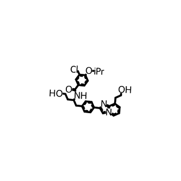 CC(C)Oc1ccc(C(=O)NC(CCO)Cc2ccc(-c3cn4cccc(CCO)c4n3)cc2)cc1Cl